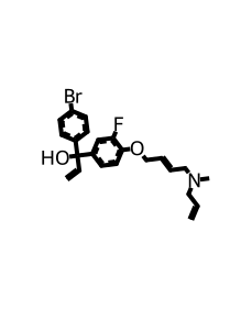 C=CCN(C)C/C=C/COc1ccc(C(O)(C=C)c2ccc(Br)cc2)cc1F